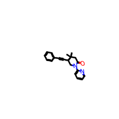 CC1(C)CC(=O)N(c2ccccn2)CC1C#Cc1ccccc1